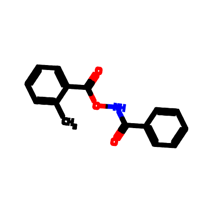 Cc1ccccc1C(=O)ONC(=O)c1ccccc1